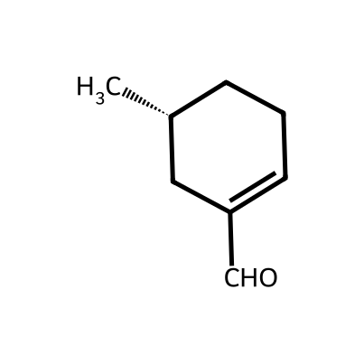 C[C@@H]1CCC=C(C=O)C1